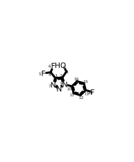 OCc1c(C(F)F)nnn1-c1ccc(F)cc1